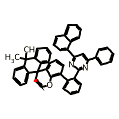 CC1(C)c2ccccc2C2(c3ccccc3Oc3c(-c4ccccc4-c4nc(-c5ccccc5)cc(-c5cccc6ccccc56)n4)cccc32)c2ccccc21